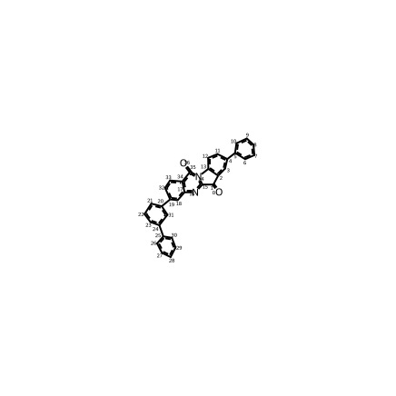 O=C1c2cc(-c3ccccc3)ccc2-n2c1nc1cc(-c3cccc(-c4ccccc4)c3)ccc1c2=O